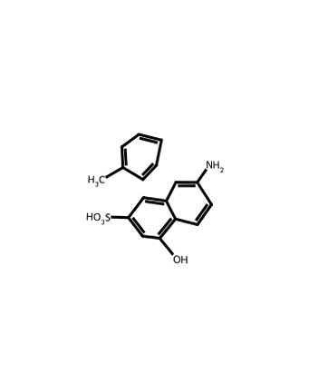 Cc1ccccc1.Nc1ccc2c(O)cc(S(=O)(=O)O)cc2c1